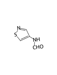 O=CNc1cnsc1